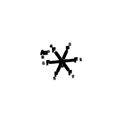 [Au+].[F][Sb-]([F])([F])([F])([F])[F]